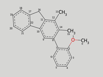 COc1ccccc1-c1cc2c(c(C)c1C)Cc1ccccc1-2